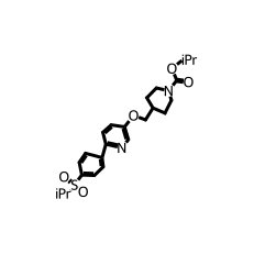 CC(C)OC(=O)N1CCC(COc2ccc(-c3ccc(S(=O)(=O)C(C)C)cc3)nc2)CC1